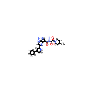 N#CC1CCN(C(=O)[C@@H](O)NC(=O)c2c[nH]c3ncc(-c4cc(-c5ccccc5)ccn4)nc23)CC1